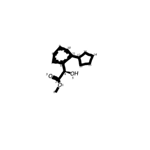 COC(=O)[C@H](O)c1ccccc1C1CCCC1